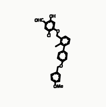 COc1ccc(COc2ccc(-c3cccc(COc4cc(O)c(C=O)cc4Cl)c3C)cc2)cc1